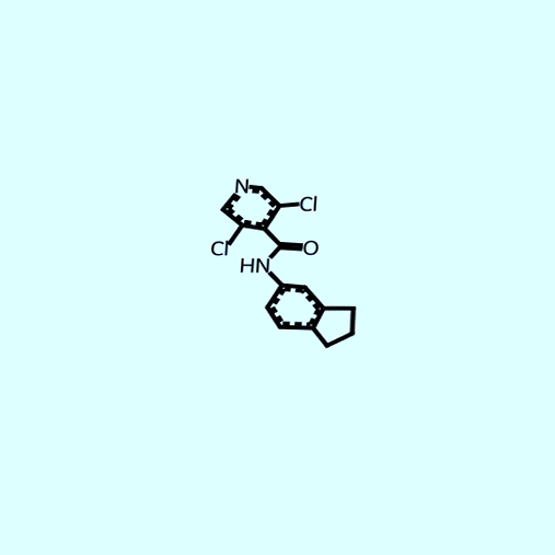 O=C(Nc1ccc2c(c1)CCC2)c1c(Cl)cncc1Cl